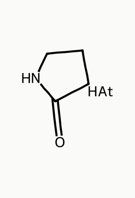 O=C1CCCN1.[AtH]